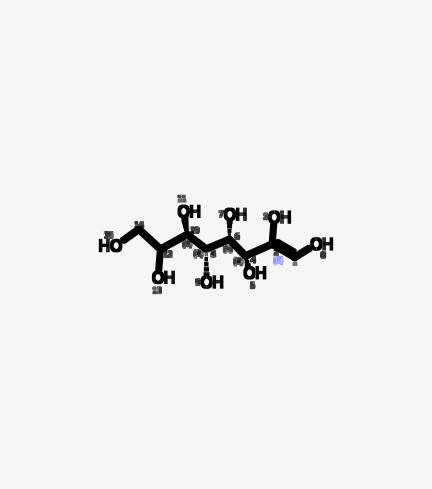 O/C=C(\O)[C@H](O)[C@@H](O)[C@H](O)[C@H](O)C(O)CO